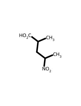 CC(CC(C)[N+](=O)[O-])C(=O)O